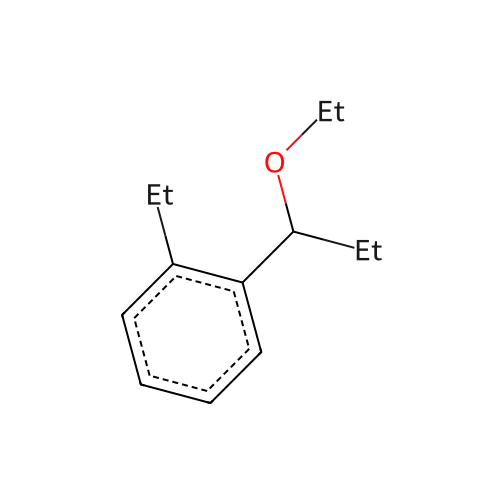 CCOC(CC)c1ccccc1CC